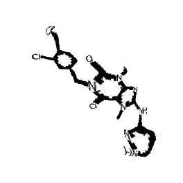 Cn1c(Nc2cc[nH]n2)nc2c1c(=O)n(Cc1ccc(Cl)c(Cl)c1)c(=O)n2C